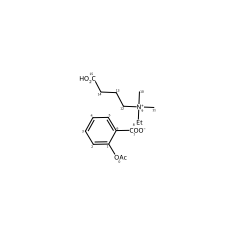 CC(=O)Oc1ccccc1C(=O)[O-].CC[N+](C)(C)CCCC(=O)O